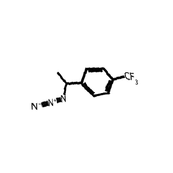 CC(N=[N+]=[N-])c1ccc(C(F)(F)F)cc1